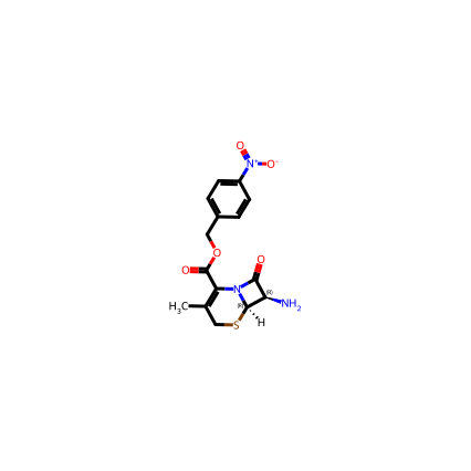 CC1=C(C(=O)OCc2ccc([N+](=O)[O-])cc2)N2C(=O)[C@@H](N)[C@H]2SC1